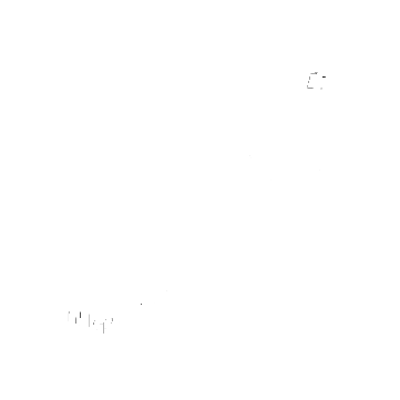 C[CH]c1ccc(CCCCCCCCCCCC)cc1